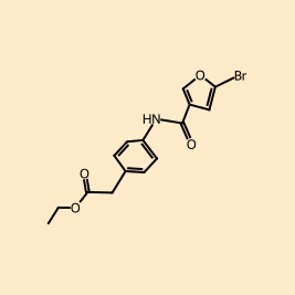 CCOC(=O)Cc1ccc(NC(=O)c2coc(Br)c2)cc1